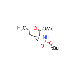 C=CC[C@@H]1C[C@]1(NC(=O)OC(C)(C)C)C(=O)OC